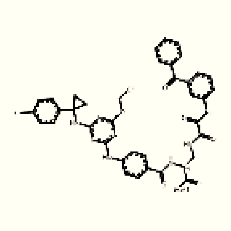 COC(=O)[C@H](CNC(=O)C(=O)Nc1cccc(C(=O)c2ccccc2)c1)NC(=O)c1ccc(Nc2nc(NC3(c4ccc(Cl)cc4)CC3)nc(OCC(F)(F)F)n2)cc1